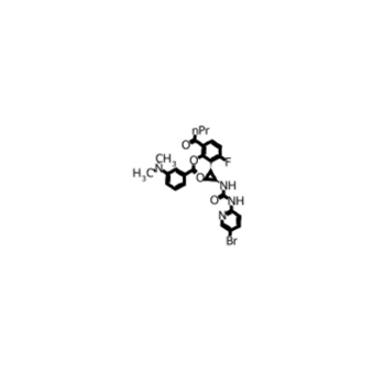 CCCC(=O)c1ccc(F)c([C@H]2C[C@H]2NC(=O)Nc2ccc(Br)cn2)c1OC(=O)c1cccc(N(C)C)c1